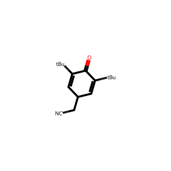 CC(C)(C)C1=CC(CC#N)C=C(C(C)(C)C)C1=O